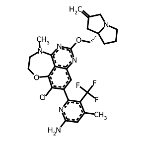 C=C1CN2CCC[C@@]2(COc2nc3c4c(c(Cl)c(-c5nc(N)cc(C)c5C(F)(F)F)cc4n2)OCCN3C)C1